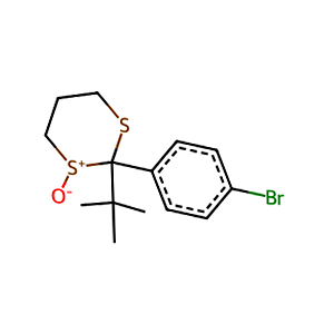 CC(C)(C)C1(c2ccc(Br)cc2)SCCC[S+]1[O-]